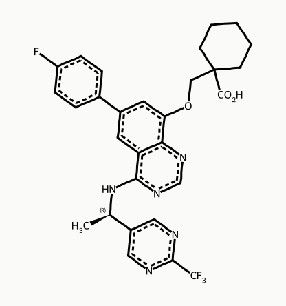 C[C@@H](Nc1ncnc2c(OCC3(C(=O)O)CCCCC3)cc(-c3ccc(F)cc3)cc12)c1cnc(C(F)(F)F)nc1